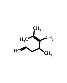 [CH]=CCC(C)C(C)=C(C)C